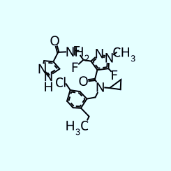 CCc1ccc(Cl)cc1CN(C(=O)c1c(C(F)F)nn(C)c1F)C1CC1.NC(=O)c1cn[nH]c1